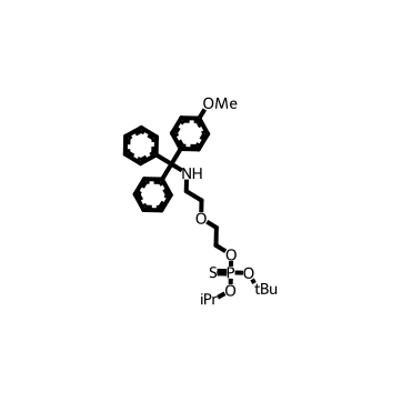 COc1ccc(C(NCCOCCOP(=S)(OC(C)C)OC(C)(C)C)(c2ccccc2)c2ccccc2)cc1